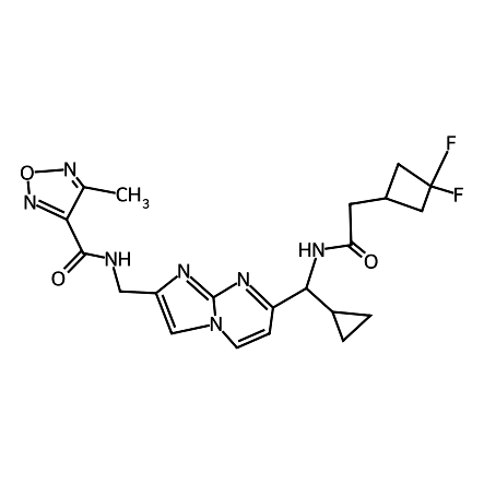 Cc1nonc1C(=O)NCc1cn2ccc(C(NC(=O)CC3CC(F)(F)C3)C3CC3)nc2n1